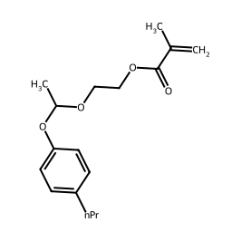 C=C(C)C(=O)OCCOC(C)Oc1ccc(CCC)cc1